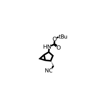 CC(C)(C)OC(=O)NC1C[C@H](CC#N)C2CC12